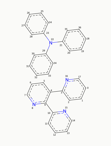 c1ccc(-c2cccnc2-c2ccccn2)nc1.c1ccc(N(c2ccccc2)c2ccccc2)cc1